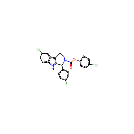 O=C(Oc1ccc(Cl)cc1)N1CCc2c([nH]c3c2=CC(Cl)CC=3)C1c1ccc(F)cc1